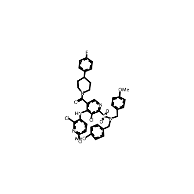 COc1ccc(CN(Cc2ccc(OC)cc2)S(=O)(=O)c2ncc(C(=O)N3CCC(c4ccc(F)cc4)CC3)c(Nc3ccc(Cl)nc3Cl)c2Cl)cc1